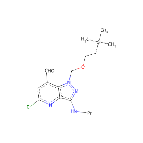 CC(C)Nc1nn(COCC[Si](C)(C)C)c2c(C=O)cc(Cl)nc12